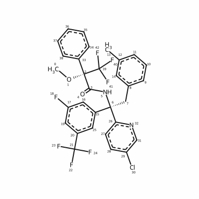 CO[C@](C(=O)N[C@](Cc1cccc(C)c1)(c1cc(F)cc(C(F)(F)F)c1)c1ccc(Cl)cn1)(c1ccccc1)C(F)(F)F